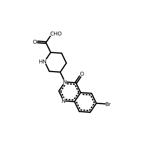 O=CC(=O)C1CCC(n2cnc3ccc(Br)cc3c2=O)CN1